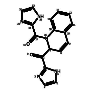 O=C(c1ncc[nH]1)C1C=Cc2ccccc2N1C(=O)c1ncc[nH]1